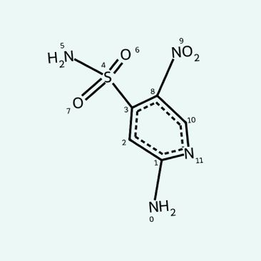 Nc1cc(S(N)(=O)=O)c([N+](=O)[O-])cn1